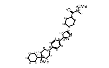 CON(C)C(=O)[C@H]1CC[C@H](c2nnc(-c3ccc(N4CCC(OC)(C5CCCCC5)CC4)cc3)s2)CC1